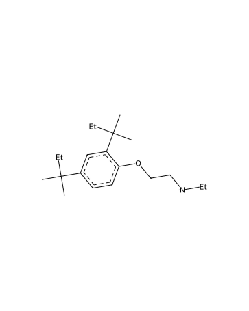 CC[N]CCOc1ccc(C(C)(C)CC)cc1C(C)(C)CC